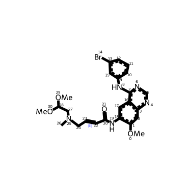 COc1cc2ncnc(Nc3cccc(Br)c3)c2cc1NC(=O)/C=C/CN(C)CC(OC)OC